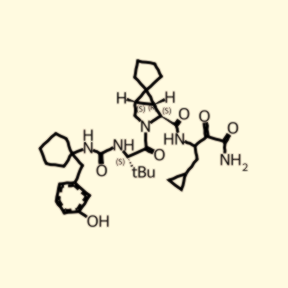 CC(C)(C)[C@H](NC(=O)NC1(Cc2cccc(O)c2)CCCCC1)C(=O)N1C[C@H]2[C@@H]([C@H]1C(=O)NC(CC1CC1)C(=O)C(N)=O)C21CCCC1